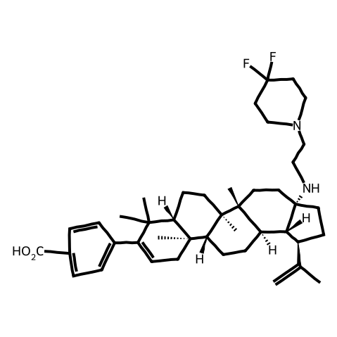 C=C(C)[C@@H]1CC[C@]2(NCCN3CCC(F)(F)CC3)CC[C@]3(C)[C@H](CC[C@@H]4[C@@]5(C)CC=C(c6ccc(C(=O)O)cc6)C(C)(C)[C@@H]5CC[C@]43C)[C@@H]12